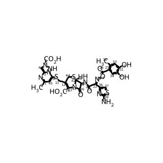 CC1=NC2=CN(C(=O)O)NN2C(SCC2=C(C(=O)O)N3C(=O)[C@@H](NC(=O)C(=NOC(=O)c4cc(O)c(O)cc4C)c4csc(N)n4)[C@H]3SC2)=C1